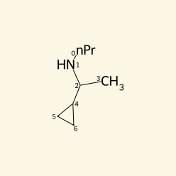 CCCNC(C)C1CC1